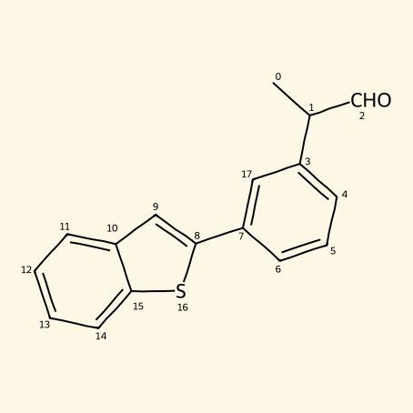 CC(C=O)c1cccc(-c2cc3ccccc3s2)c1